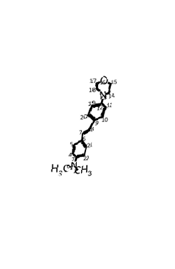 CN(C)c1ccc(C=Cc2ccc(N3CCOCC3)cc2)cc1